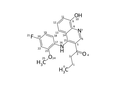 CCCC(=O)c1cnc2c(O)cccc2c1Nc1ccc(F)cc1OC